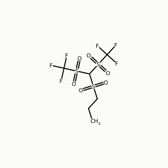 CCCS(=O)(=O)C(S(=O)(=O)C(F)(F)F)S(=O)(=O)C(F)(F)F